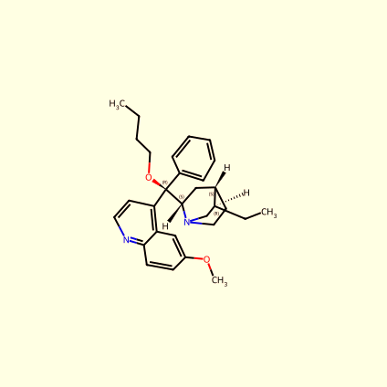 CCCCO[C@](c1ccccc1)(c1ccnc2ccc(OC)cc12)[C@@H]1C[C@@H]2CCN1C[C@@H]2CC